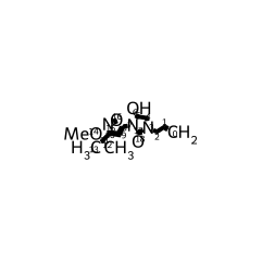 C=CCN1CC(O)N(c2cc(C(C)(C)OC)no2)C1=O